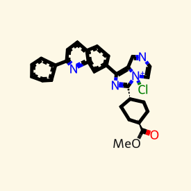 COC(=O)[C@H]1CC[C@H](C2=NC(c3ccc4ccc(-c5ccccc5)nc4c3)=C3C=NC=C[N+]32Cl)CC1